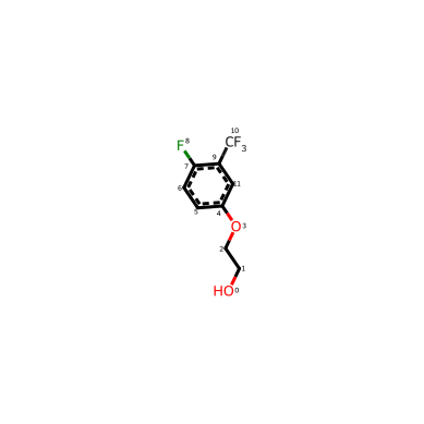 OCCOc1ccc(F)c(C(F)(F)F)c1